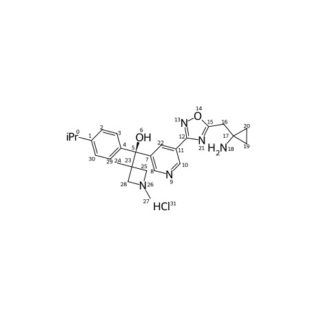 CC(C)c1ccc([C@](O)(c2cncc(-c3noc(CC4(N)CC4)n3)c2)C2(C)CN(C)C2)cc1.Cl